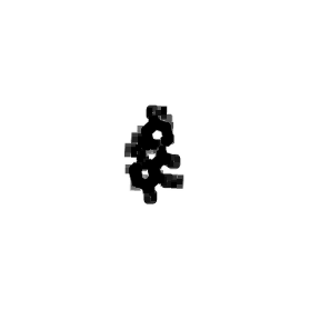 CC1CCN2C(=O)c3c(O)c(=O)ccn3N[C@@H]2C1